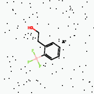 OCCc1ccccc1[B-](F)(F)F.[K+]